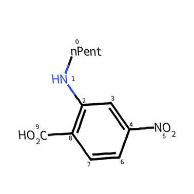 CCCCCNc1cc([N+](=O)[O-])ccc1C(=O)O